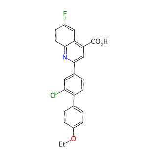 CCOc1ccc(-c2ccc(-c3cc(C(=O)O)c4cc(F)ccc4n3)cc2Cl)cc1